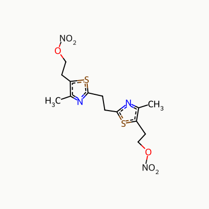 Cc1nc(CCc2nc(C)c(CCO[N+](=O)[O-])s2)sc1CCO[N+](=O)[O-]